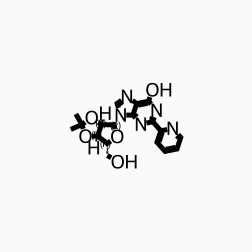 CC1(C)O[C@@H]2[C@H](O1)[C@@H](CO)O[C@H]2n1cnc2c(O)nc(-c3ccccn3)nc21